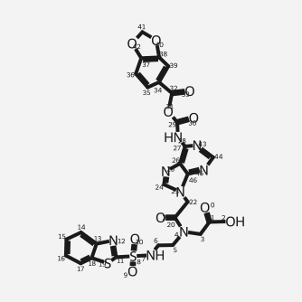 O=C(O)CN(CCNS(=O)(=O)c1nc2ccccc2s1)C(=O)Cn1cnc2c(NC(=O)OC(=O)c3ccc4c(c3)OCO4)ncnc21